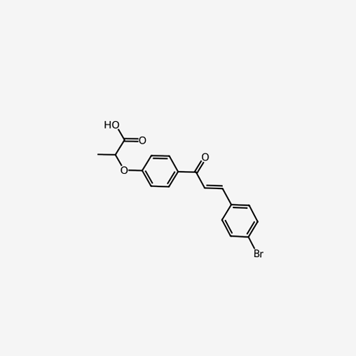 CC(Oc1ccc(C(=O)C=Cc2ccc(Br)cc2)cc1)C(=O)O